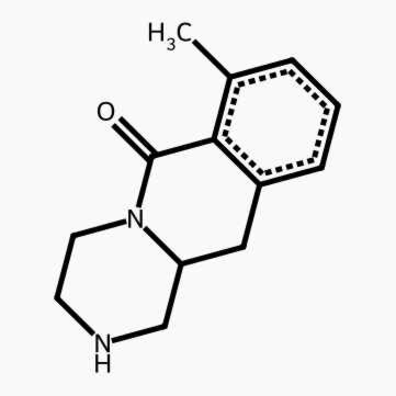 Cc1cccc2c1C(=O)N1CCNCC1C2